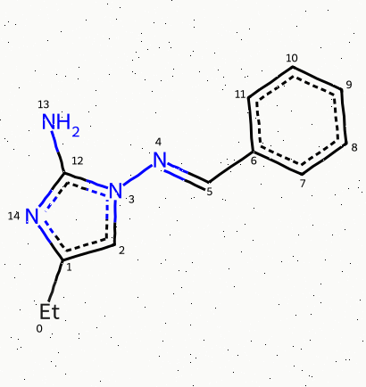 CCc1cn(N=Cc2ccccc2)c(N)n1